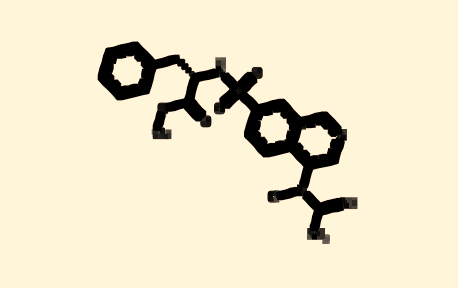 CC(C)(C)OC(=O)[C@H](Cc1ccccc1)NS(=O)(=O)c1ccc2c(N(Cl)C(=N)N)cncc2c1